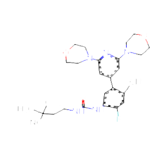 Cc1cc(F)c(NC(=O)NCCC(C)(C)C#N)cc1-c1cc(N2CCOCC2)nc(N2CCOCC2)c1